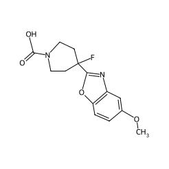 COc1ccc2oc(C3(F)CCN(C(=O)O)CC3)nc2c1